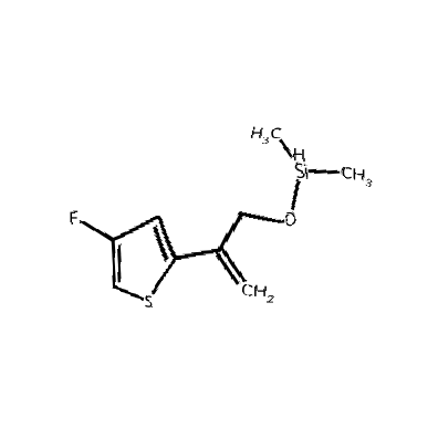 C=C(CO[SiH](C)C)c1cc(F)cs1